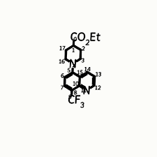 CCOC(=O)C1CCN(c2ccc(C(F)(F)F)c3ncccc23)CC1